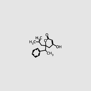 CC(C)CC1(C(C)c2ccccc2)CC(O)=CC(=O)O1